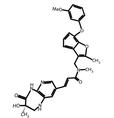 COc1cccc(Oc2cccc3c(CN(C)C(=O)/C=C/c4cnc5c(c4)NC[C@@](C)(O)C(=O)N5)c(C)oc23)c1